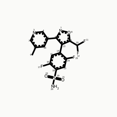 Cc1cncc(-c2noc(C(F)F)c2-c2cc(F)c(S(N)(=O)=O)cc2F)c1